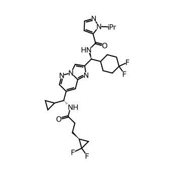 CC(C)n1nccc1C(=O)N[C@H](c1cn2ncc([C@H](NC(=O)CC[C@H]3CC3(F)F)C3CC3)cc2n1)C1CCC(F)(F)CC1